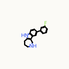 Fc1cccc(-c2ccc3[nH]c4c(c3c2)CNCCC4)c1